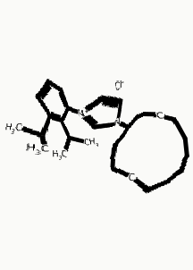 CC(C)c1cccc(-[n+]2ccn(C3CCCCCCCCCCC3)c2)c1C(C)C.[Cl-]